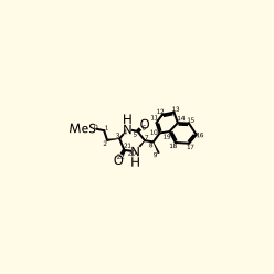 CSCC[C@H]1NC(=O)[C@@H]([C@H](C)c2cccc3ccccc23)NC1=O